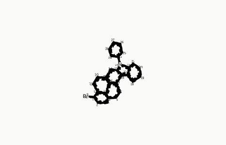 Brc1ccc2ccc3c4c(ccc1c24)cc1c3c2ccccc2n1-c1ccccc1